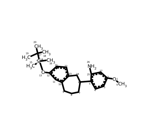 COc1ccc(C2CCCc3cc(O[Si](C)(C)C(C)(C)C)ccc3C2)c(N)c1